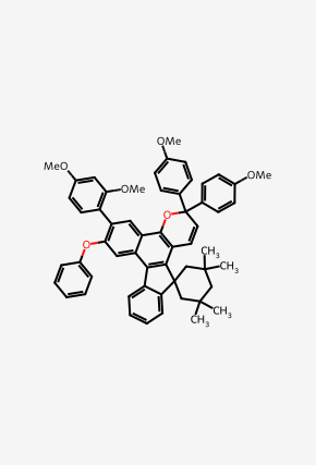 COc1ccc(C2(c3ccc(OC)cc3)C=Cc3c4c(c5cc(Oc6ccccc6)c(-c6ccc(OC)cc6OC)cc5c3O2)-c2ccccc2C42CC(C)(C)CC(C)(C)C2)cc1